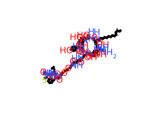 CC[C@H](C)C[C@H](C)CCCCCCCCC(=O)N[C@H]1C[C@@H](O)[C@@H](NCCN)NC(=O)[C@@H]2[C@@H](O)CCN2C(=O)[C@H]([C@H](O)CCNC(=O)CCC(=O)NCCOCCOCCNC(=O)[C@H](Cc2ccccc2)NC(=O)[C@H](CC(C)C)NC(=O)[C@H](CCSC)NC=O)NC(=O)[C@H]([C@H](O)[C@@H](O)c2ccc(O)cc2)NC(=O)[C@@H]2C[C@@H](O)CN2C(=O)[C@H]([C@@H](C)O)NC1=O